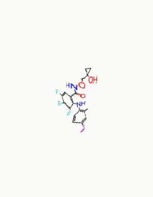 Cc1cc(I)ccc1Nc1c(C(=O)NOCC2(O)CC2)cc(F)c(F)c1F